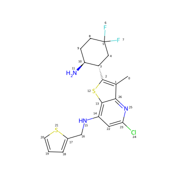 Cc1c([C@H]2CC(F)(F)CC[C@@H]2N)sc2c(NCc3cccs3)cc(Cl)nc12